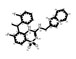 CC(c1ccccc1F)c1c(F)ccc2c1NC(NCc1cn3ccccc3n1)=NS2(=O)=O